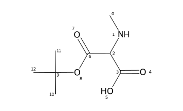 CNC(C(=O)O)C(=O)OC(C)(C)C